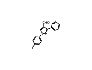 O=Cc1cn(-c2ccc(I)cc2)nc1-c1cccnc1